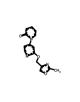 Cc1nc(COc2cc(-n3ccccc3=O)ccn2)co1